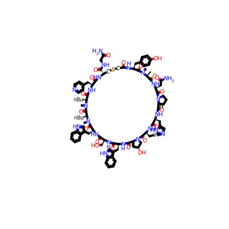 CCCC[C@H]1C(=O)N(C)[C@@H](CCCC)C(=O)N[C@@H](Cc2ccncc2)C(=O)N[C@H](C(=O)NCC(N)=O)CSCC(=O)N[C@@H](Cc2ccc(O)cc2)C(=O)N(C)[C@@H](C)C(=O)N[C@@H](CC(N)=O)C(=O)N2CCC[C@H]2C(=O)N[C@@H](Cc2cnc[nH]2)C(=O)N[C@@H](CC(C)C)C(=O)N2C[C@H](O)C[C@H]2C(=O)N[C@@H](Cc2c[nH]c3ccccc23)C(=O)N[C@@H](CO)C(=O)N[C@@H](Cc2c[nH]c3ccccc23)C(=O)N1C